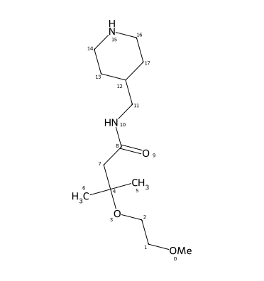 COCCOC(C)(C)CC(=O)NCC1CCNCC1